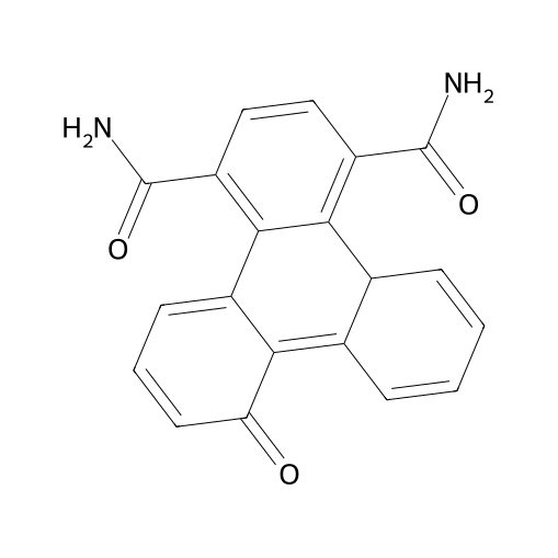 NC(=O)c1ccc(C(N)=O)c2c1C1=CC=CC(=O)C1=C1C=CC=CC12